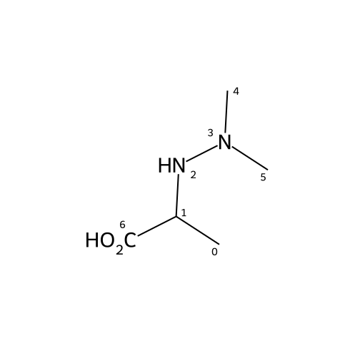 CC(NN(C)C)C(=O)O